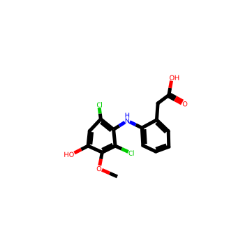 COc1c(O)cc(Cl)c(Nc2ccccc2CC(=O)O)c1Cl